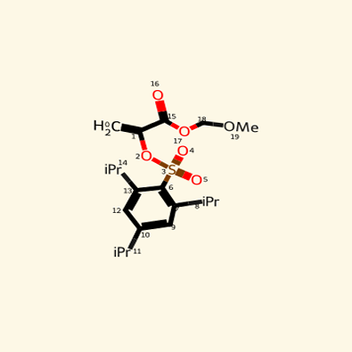 C=C(OS(=O)(=O)c1c(C(C)C)cc(C(C)C)cc1C(C)C)C(=O)OCOC